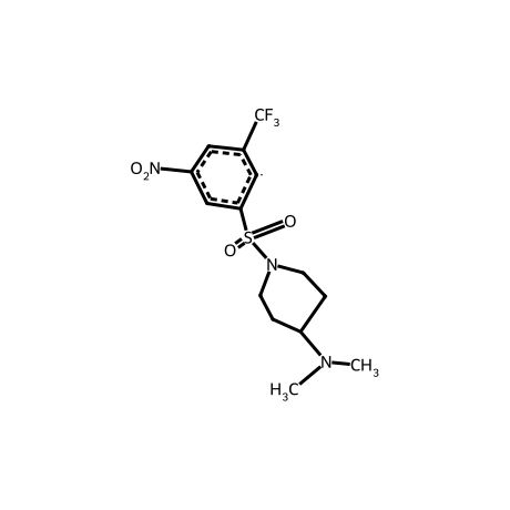 CN(C)C1CCN(S(=O)(=O)c2[c]c(C(F)(F)F)cc([N+](=O)[O-])c2)CC1